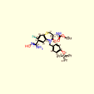 CC(C)[Si](Oc1ccc(CN2C(=O)[C@@H](NC(=O)OC(C)(C)C)CSc3cc(F)c(/C(N)=N/O)cc32)cc1)(C(C)C)C(C)C